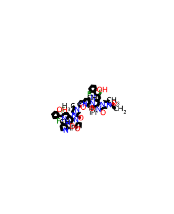 C=CC(=O)N1CC2C(=O)N(C(C)C)c3c(c4cc(F)c(-c5c(O)cccc5F)nc4n(-c4c(C)cc(/C=C\C(=O)N5CC6C(=O)N(C7CCOC7)c7c(c8cc(F)c(-c9c(O)cccc9F)nc8n(-c8c(C)ccnc8C(C)C)c7=O)N6CC5C)nc4C(C)C)c3=O)N2CC1C